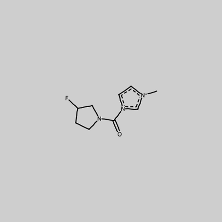 C[n+]1ccn(C(=O)N2CCC(F)C2)c1